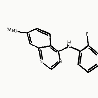 COc1ccc2c(Nc3ccccc3F)ncnc2c1